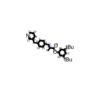 C/C(=C\c1ccc(Cc2cccnc2)cc1)C(=O)Oc1cc(C(C)(C)C)cc(C(C)(C)C)c1